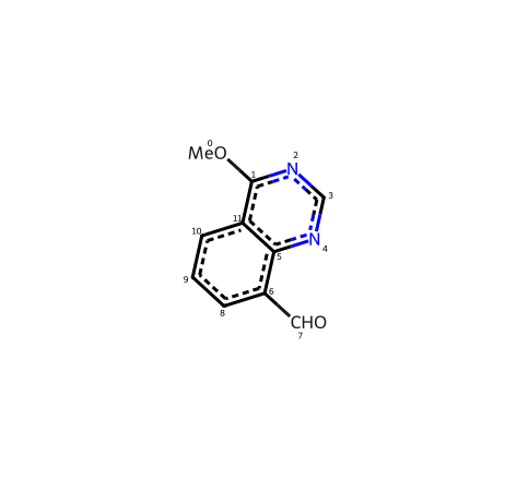 COc1ncnc2c(C=O)cccc12